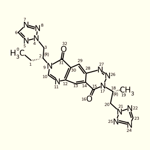 CC[C@H](Cn1ncnn1)n1cnc2cc3c(=O)n([C@H](C)Cn4ncnn4)nnc3cc2c1=O